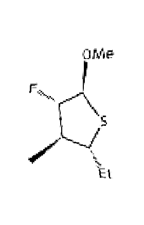 CC[C@H]1S[C@H](OC)[C@@H](F)[C@@H]1C